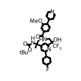 COc1cc(C(=O)NCC(O)(c2cc(C(C)(C)NC(=O)OC(C)(C)C)cc(-c3ccc(F)cc3)n2)C(F)(F)F)ccc1-c1ccncc1